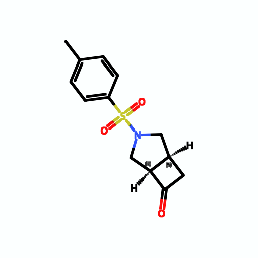 Cc1ccc(S(=O)(=O)N2C[C@H]3CC(=O)[C@H]3C2)cc1